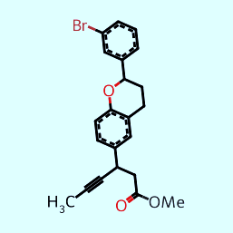 CC#CC(CC(=O)OC)c1ccc2c(c1)CCC(c1cccc(Br)c1)O2